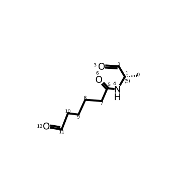 C[C@@H](C=O)NC(=O)CCCCC=O